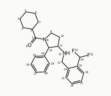 O=C(C1CCCCC1)N1CCC(NCc2ccccc2C(F)F)C1c1ccccc1